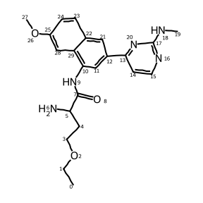 CCOCCC(N)C(=O)Nc1cc(-c2ccnc(NC)n2)cc2ccc(OC)cc12